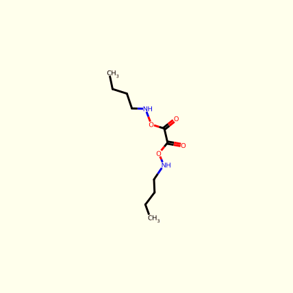 CCCCNOC(=O)C(=O)ONCCCC